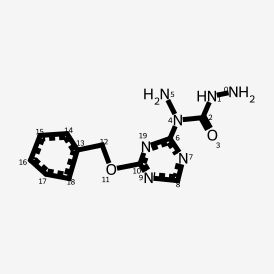 NNC(=O)N(N)c1ncnc(OCc2ccccc2)n1